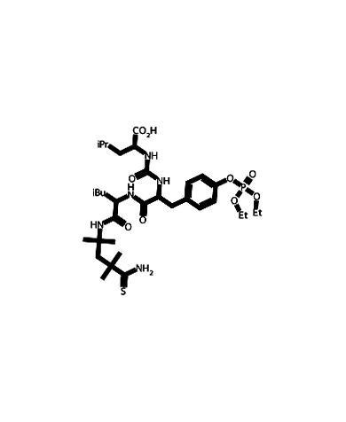 CCOP(=O)(OCC)Oc1ccc(CC(NC(=O)NC(CC(C)C)C(=O)O)C(=O)NC(C(=O)NC(C)(C)CC(C)(C)C(N)=S)C(C)CC)cc1